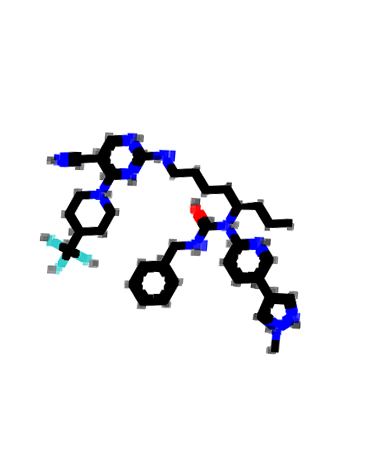 CCC[C@H](CCCCNc1ncc(C#N)c(N2CCC(C(F)(F)F)CC2)n1)N(C(=O)NCc1ccccc1)c1ccc(-c2cnn(C)c2)cn1